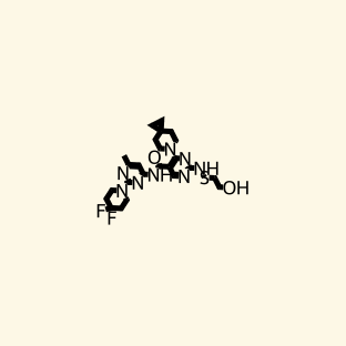 Cc1cc(NC(=O)c2cnc(NSCCO)nc2N2CCC3(CC2)CC3)nc(N2CCC(F)(F)CC2)n1